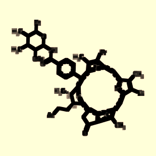 CCC1=C(C)c2cc3[nH]c(c(C)c3C(C)C)c(-c3ccc(C(=O)NC4OC(CC)C(C)C(C)C4OC(C)=O)cc3)c3nc(c4c5[nH]c(cc1n2)c(C)c5C(=O)C4)[C@@H](CCC(C)=O)[C@@H]3C